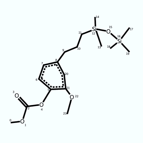 COC(=O)Oc1ccc(CCC[Si](C)(C)O[Si](C)(C)C)cc1OC